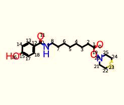 O=C(CCCCCCCNC(=O)c1ccc(O)cc1)ON1CCSCC1